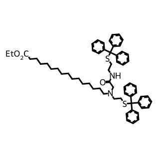 CCOC(=O)CCCCCCCCCCCCCCCN(CCSC(c1ccccc1)(c1ccccc1)c1ccccc1)CC(=O)NCCSC(c1ccccc1)(c1ccccc1)c1ccccc1